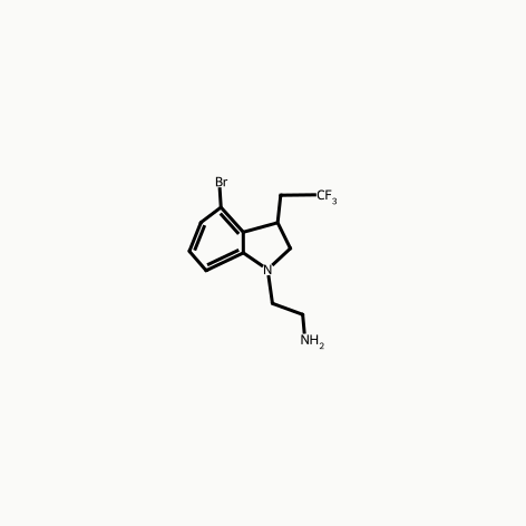 NCCN1CC(CC(F)(F)F)c2c(Br)cccc21